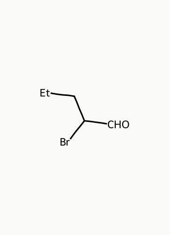 [CH2]CCC(Br)C=O